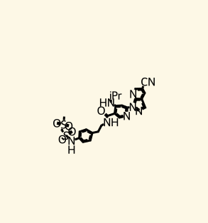 CC(C)Nc1cc(-n2ncc3cc(C#N)cnc32)ncc1C(=O)NCCc1ccc(NS(=O)(=O)CS(C)(=O)=O)cc1